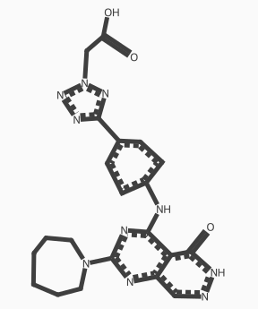 O=C(O)Cn1nnc(-c2ccc(Nc3nc(N4CCCCCC4)nc4cn[nH]c(=O)c34)cc2)n1